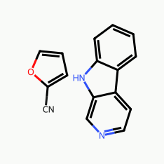 N#Cc1ccco1.c1ccc2c(c1)[nH]c1cnccc12